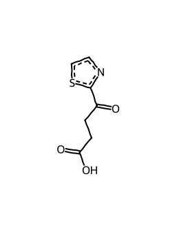 O=C(O)CCC(=O)c1nccs1